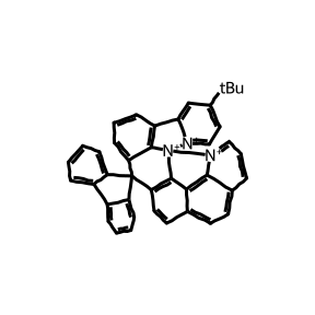 CC(C)(C)c1cc[n+]2c(c1)-c1cccc3c1[N+]21c2c(ccc4ccc5ccc[n+]1c5c24)C31c2ccccc2-c2ccccc21